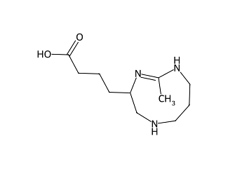 C/C1=N\C(CCCC(=O)O)CNCCCN1